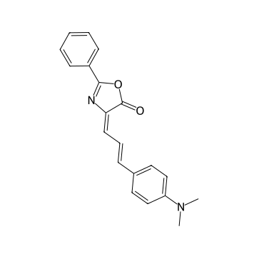 CN(C)c1ccc(C=CC=C2N=C(c3ccccc3)OC2=O)cc1